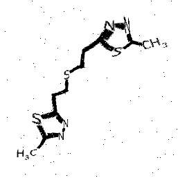 Cc1nnc(CCSCCc2nnc(C)s2)s1